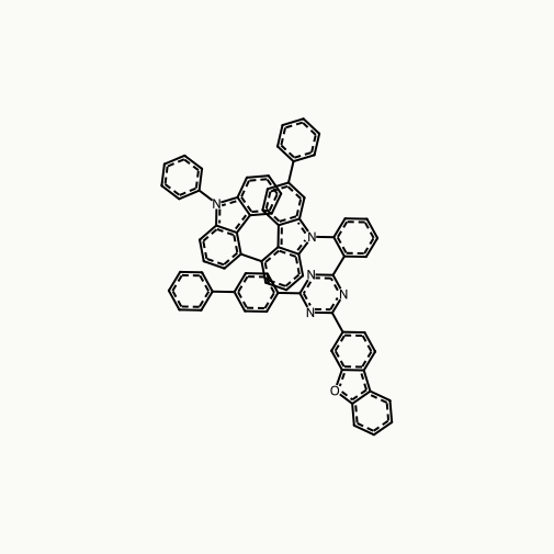 c1ccc(-c2ccc(-c3nc(-c4ccc5c(c4)oc4ccccc45)nc(-c4ccccc4-n4c5cc(-c6ccccc6)ccc5c5c(-c6cccc7c6c6ccccc6n7-c6ccccc6)cccc54)n3)cc2)cc1